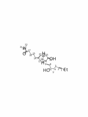 CCC#CC[C@H](C)[C@H](O)/C=C/[C@@H]1[C@H]2CC(CCCCC(=O)N(C)C)=C[C@H]2C[C@H]1O